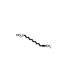 CC#CCCCCCCCCCCC(=O)O